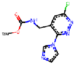 CC(C)(C)OC(=O)NCc1cc(Cl)nnc1-n1ccnc1